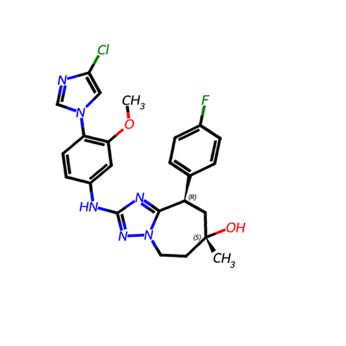 COc1cc(Nc2nc3n(n2)CC[C@@](C)(O)C[C@@H]3c2ccc(F)cc2)ccc1-n1cnc(Cl)c1